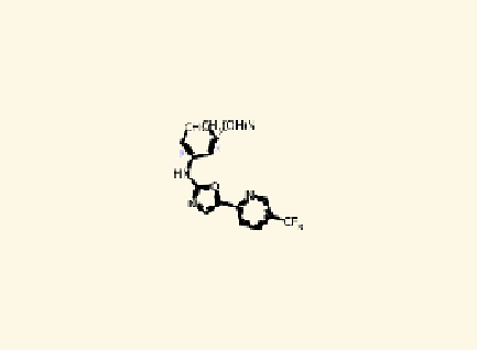 CN(O)/C=C\C(=C/C=O)Nc1ncc(-c2ccc(C(F)(F)F)cn2)o1